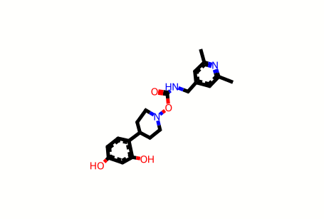 Cc1cc(CNC(=O)ON2CCC(c3ccc(O)cc3O)CC2)cc(C)n1